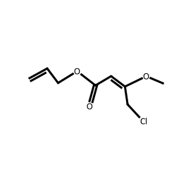 C=CCOC(=O)/C=C(\CCl)OC